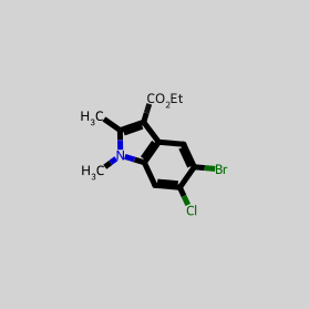 CCOC(=O)c1c(C)n(C)c2cc(Cl)c(Br)cc12